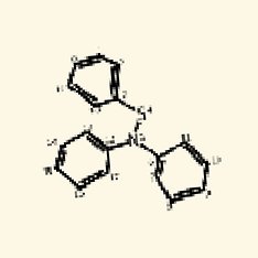 c1ccc(SN(c2ccccc2)c2ccccc2)cc1